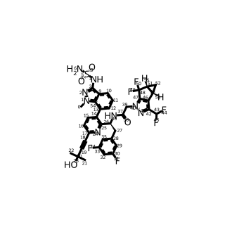 Cn1nc(NS(N)(=O)=O)c2cccc(-c3ccc(C#CC(C)(C)O)nc3[C@H](Cc3cc(F)cc(F)c3)NC(=O)Cn3nc(C(F)F)c4c3C(F)(F)[C@@H]3C[C@H]43)c21